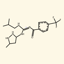 CC(C)CN/C(=N/C(=O)c1ccc(C(F)(F)F)cc1)NC1CC(C)NN1